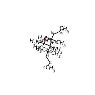 CCCC(C)(C)C(N)(C(C)(C)N)C(C)(C)CCC